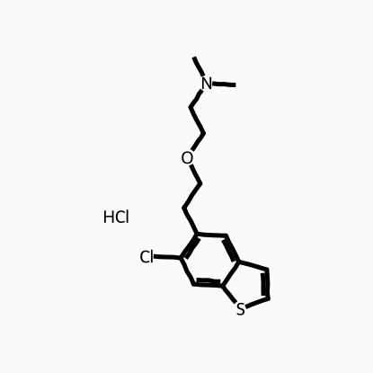 CN(C)CCOCCc1cc2ccsc2cc1Cl.Cl